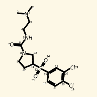 CN(C)CCNC(=O)N1CCC(S(=O)(=O)c2ccc(Cl)c(Cl)c2)C1